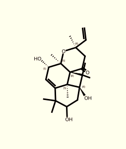 C=C[C@@]1(C)CC(=O)[C@@]23C(C)(C)[C@]4(O)CC(O)C(C)(C)C(=C[C@H](O)[C@@]2(C)O1)[C@@]34C